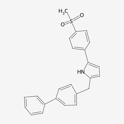 CS(=O)(=O)c1ccc(-c2ccc(Cc3ccc(-c4ccccc4)cc3)[nH]2)cc1